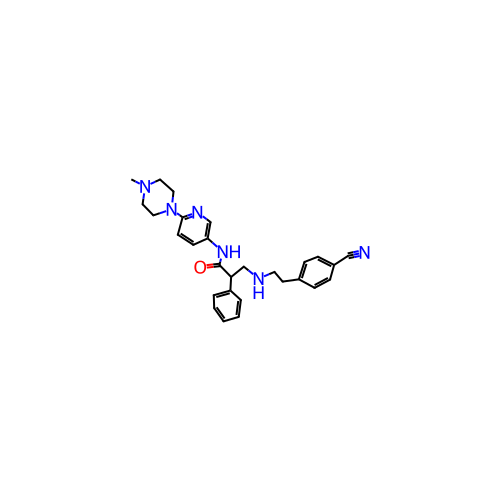 CN1CCN(c2ccc(NC(=O)C(CNCCc3ccc(C#N)cc3)c3ccccc3)cn2)CC1